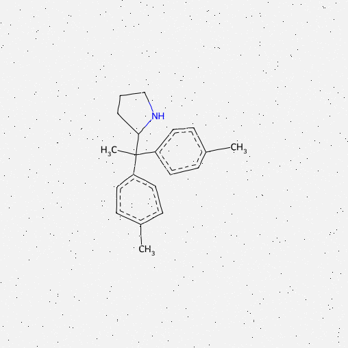 Cc1ccc(C(C)(c2ccc(C)cc2)C2CCCN2)cc1